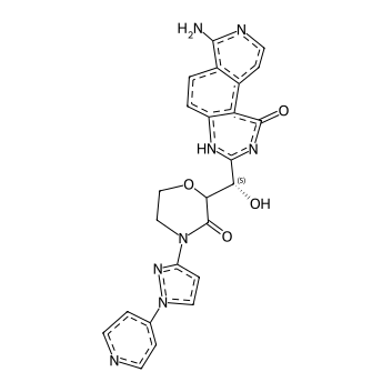 Nc1nccc2c1ccc1[nH]c([C@H](O)C3OCCN(c4ccn(-c5ccncc5)n4)C3=O)nc(=O)c12